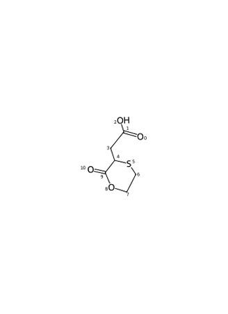 O=C(O)CC1SCCOC1=O